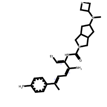 CC/C=C(NC(=O)N1CC2CC(N(C)C3COC3)CC2C1)/C(N)=C\C=C(/C)c1ccc(P)cc1